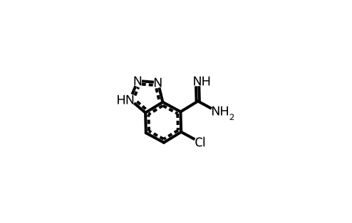 N=C(N)c1c(Cl)ccc2[nH]nnc12